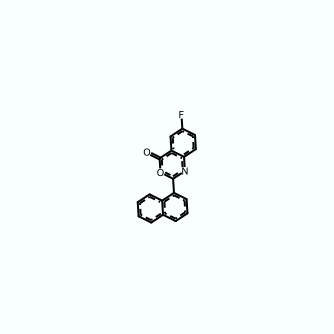 O=c1oc(-c2cccc3ccccc23)nc2ccc(F)cc12